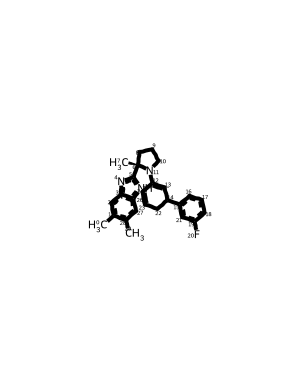 Cc1cc2nc([C@]3(C)CCCN3C3=[C]C(c4cccc(F)c4)CC=C3)[nH]c2cc1C